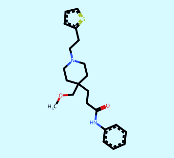 COCC1(CCC(=O)Nc2ccccc2)CCN(CCc2cccs2)CC1